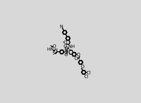 COC(=O)C(Cc1ccc(-c2ccc(C#N)cc2)cc1)NC(=O)[C@@H]1Cc2cc3c(cc2CN1S(=O)(=O)c1ccc(-c2csc(NC(C)=O)n2)cc1)O[C@@H](c1ccc(OCc2ccc(Cl)c(Cl)c2)cc1)CO3